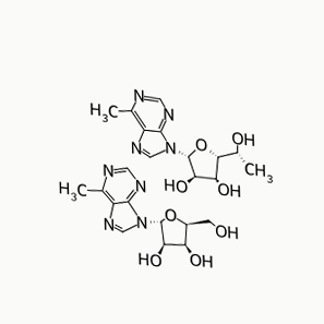 Cc1ncnc2c1ncn2[C@@H]1O[C@@H](CO)[C@@H](O)[C@H]1O.Cc1ncnc2c1ncn2[C@@H]1O[C@H]([C@@H](C)O)[C@@H](O)[C@H]1O